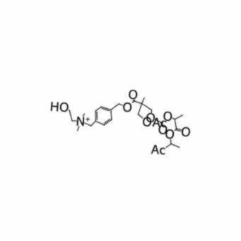 CC(=O)OCC(C)(COC(=O)OC(C)C(=O)OC(C)C(C)=O)C(=O)OCc1ccc(C[N+](C)(C)CCO)cc1